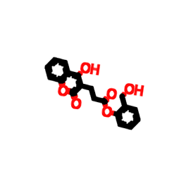 O=C(CCc1c(O)c2ccccc2oc1=O)Oc1ccccc1CO